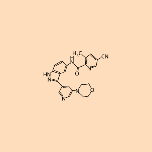 Cc1cc(C#N)cnc1C(=O)Nc1ccc2[nH]nc(-c3cncc(N4CCOCC4)c3)c2c1